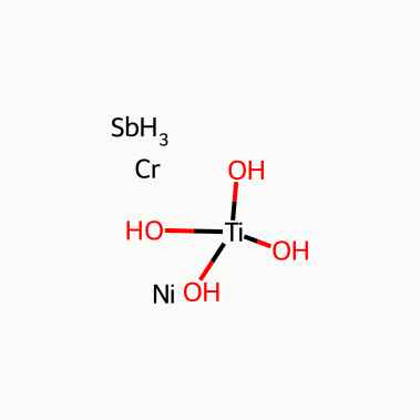 [Cr].[Ni].[OH][Ti]([OH])([OH])[OH].[SbH3]